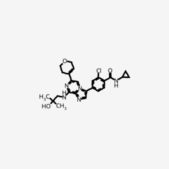 CC(C)(O)CNc1nc(C2=CCOCC2)cn2c(-c3ccc(C(=O)NC4CC4)c(Cl)c3)cnc12